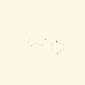 O=CC(=Cc1ccc([N+](=O)[O-])o1)c1ccccc1Cl